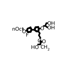 C=C(CO)C(=O)OCCCc1cc(-c2ccc(OCCCCCCCC)c(F)c2)ccc1OCC(CO)CO